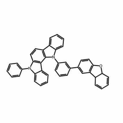 C1=CC2Oc3ccc(-c4cccc(-n5c6ccccc6c6ccc7c(c8ccccc8n7-c7ccccc7)c65)c4)cc3C2C=C1